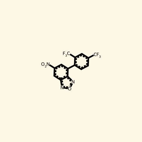 O=[N+]([O-])c1cc(-c2ccc(C(F)(F)F)cc2C(F)(F)F)c2nonc2c1